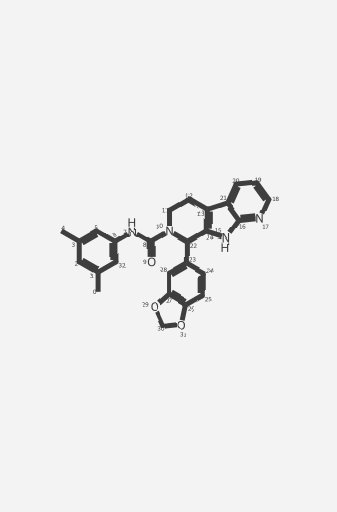 Cc1cc(C)cc(NC(=O)N2CCc3c([nH]c4ncccc34)C2c2ccc3c(c2)OCO3)c1